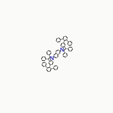 c1ccc(-c2cccc(-c3ccccc3)c2-c2ccc3c(c2)c(-c2ccccc2)c(-c2ccccc2)n3-c2ccc3cc(-n4c(-c5ccccc5)c(-c5ccccc5)c5cc(-c6c(-c7ccccc7)cccc6-c6ccccc6)ccc54)ccc3c2)cc1